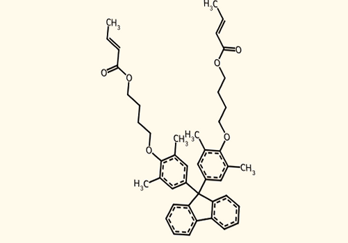 CC=CC(=O)OCCCCOc1c(C)cc(C2(c3cc(C)c(OCCCCOC(=O)C=CC)c(C)c3)c3ccccc3-c3ccccc32)cc1C